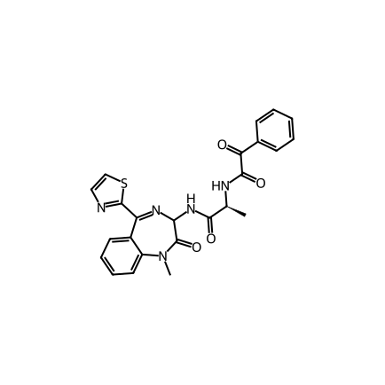 C[C@H](NC(=O)C(=O)c1ccccc1)C(=O)NC1N=C(c2nccs2)c2ccccc2N(C)C1=O